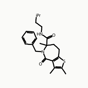 Cc1sc2c(c1C)C(=O)N(Cc1ccccc1)C(C)(C(=O)NCCC(C)C)CC2